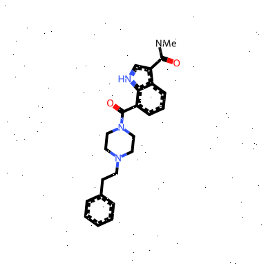 CNC(=O)c1c[nH]c2c(C(=O)N3CCN(CCc4ccccc4)CC3)cccc12